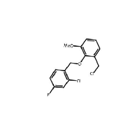 COc1cccc(CCl)c1OCc1ccc(F)cc1Cl